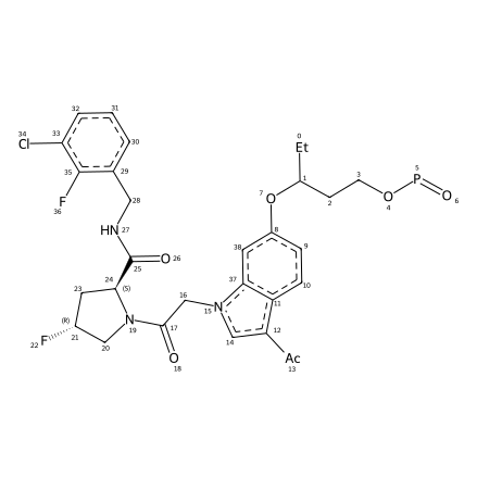 CCC(CCOP=O)Oc1ccc2c(C(C)=O)cn(CC(=O)N3C[C@H](F)C[C@H]3C(=O)NCc3cccc(Cl)c3F)c2c1